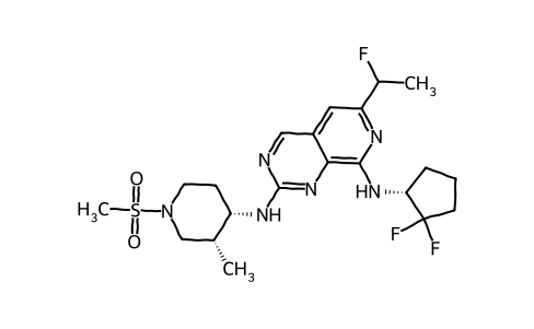 CC(F)c1cc2cnc(N[C@H]3CCN(S(C)(=O)=O)C[C@H]3C)nc2c(N[C@@H]2CCCC2(F)F)n1